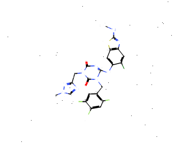 CC(C)Nc1nc2cc(Cl)c(Nc3nc(=O)n(Cc4ncn(C)n4)c(=O)n3Cc3cc(F)c(F)cc3F)cc2s1